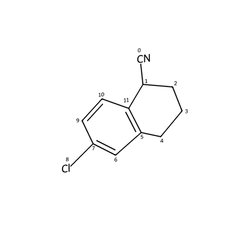 N#CC1CCCc2cc(Cl)ccc21